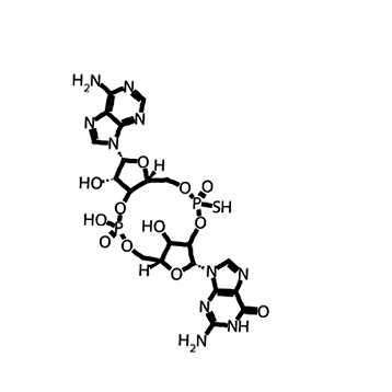 Nc1nc2c(ncn2[C@@H]2O[C@@H]3COP(=O)(O)OC4[C@@H](COP(=O)(S)OC2C3O)O[C@@H](n2cnc3c(N)ncnc32)[C@H]4O)c(=O)[nH]1